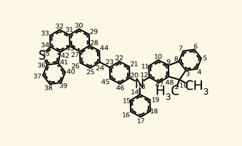 CC1(C)c2ccccc2-c2ccc(N(c3ccccc3)c3ccc(-c4ccc5c(ccc6ccc7sc8ccccc8c7c65)c4)cc3)cc21